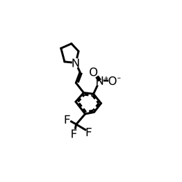 O=[N+]([O-])c1ccc(C(F)(F)F)cc1/C=C/N1CCCC1